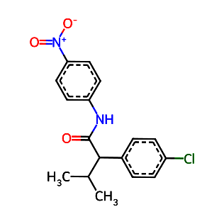 CC(C)C(C(=O)Nc1ccc([N+](=O)[O-])cc1)c1ccc(Cl)cc1